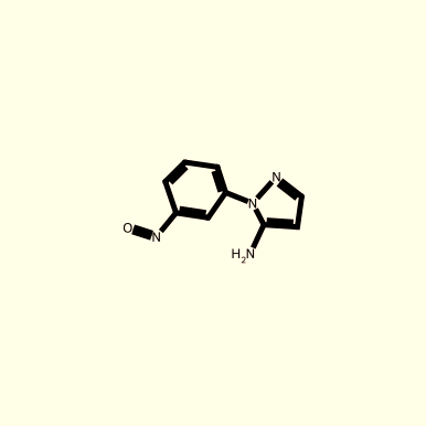 Nc1ccnn1-c1cccc(N=O)c1